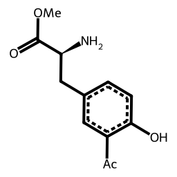 COC(=O)[C@@H](N)Cc1ccc(O)c(C(C)=O)c1